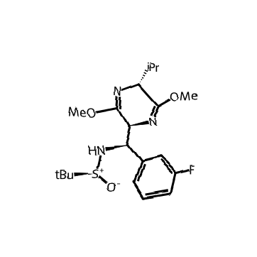 COC1=N[C@H](C(C)C)C(OC)=N[C@H]1[C@H](N[S@@+]([O-])C(C)(C)C)c1cccc(F)c1